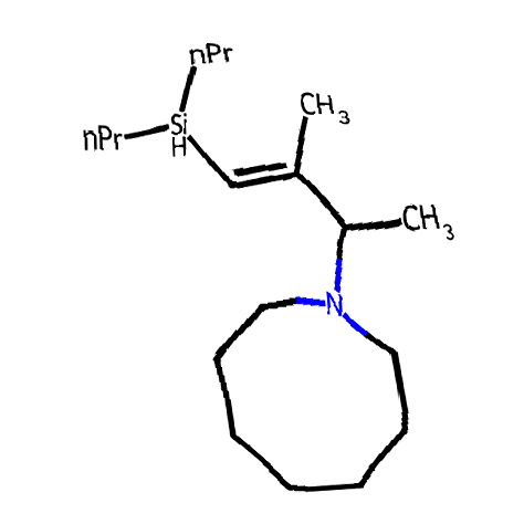 CCC[SiH](C=C(C)C(C)N1CCCCCCC1)CCC